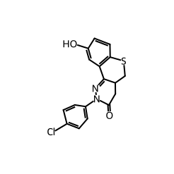 O=C1CC2CSc3ccc(O)cc3C2=NN1c1ccc(Cl)cc1